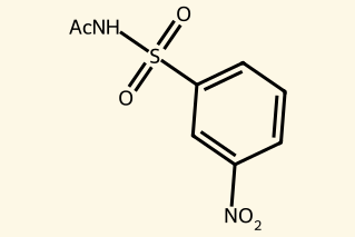 CC(=O)NS(=O)(=O)c1cccc([N+](=O)[O-])c1